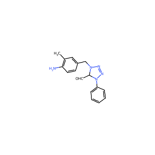 Cc1cc(CN2N=NN(c3ccccc3)C2C=O)ccc1N